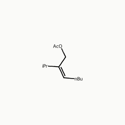 CCCCC=C(COC(C)=O)C(C)C